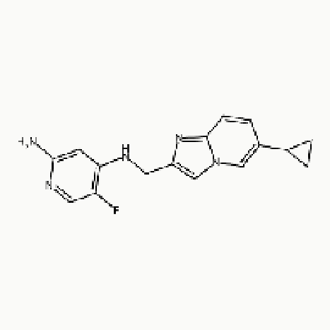 Nc1cc(NCc2cn3cc(C4CC4)ccc3n2)c(F)cn1